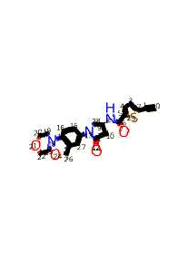 C#Cc1ccc(C(=O)N[C@@H]2CC(=O)N(c3ccc(N4CCOCC4=O)c(C)c3)C2)s1